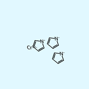 [Cr+3].c1cc[n-]c1.c1cc[n-]c1.c1cc[n-]c1